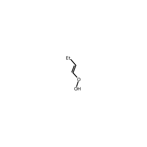 CCC=COO